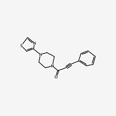 O=C(C#Cc1ccccc1)N1CCN(c2cscn2)CC1